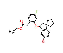 CCOC(=O)Cc1ccc(F)cc1OC1CC2(CCCC2)c2ccc(Br)cc21